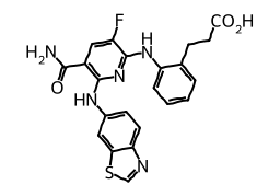 NC(=O)c1cc(F)c(Nc2ccccc2CCC(=O)O)nc1Nc1ccc2ncsc2c1